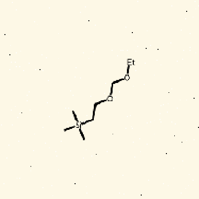 CCOCOCC[Si](C)(C)C